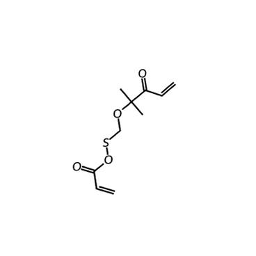 C=CC(=O)OSCOC(C)(C)C(=O)C=C